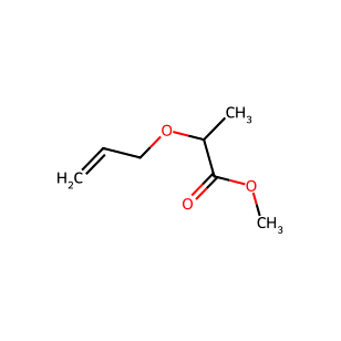 C=CCOC(C)C(=O)OC